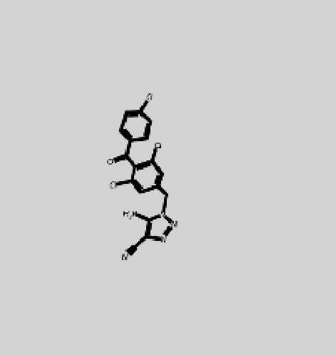 N#Cc1nnn(Cc2cc(Cl)c(C(=O)c3ccc(Cl)cc3)c(Cl)c2)c1N